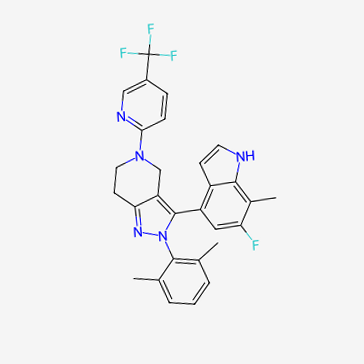 Cc1cccc(C)c1-n1nc2c(c1-c1cc(F)c(C)c3[nH]ccc13)CN(c1ccc(C(F)(F)F)cn1)CC2